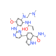 C=CC(O)Nc1cc(Nc2nccc(-c3ccc(C(N)=O)c4[nH]ccc34)n2)c(OC)cc1N(C)CCN(C)C